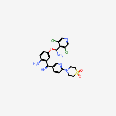 N=C(c1ccc(N2CCS(=O)(=O)CC2)nc1)c1cc(O[C@H](N)c2c(Cl)cncc2Cl)ccc1N